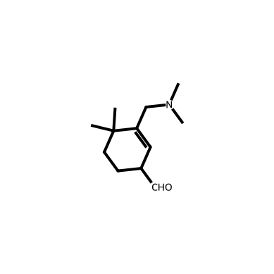 CN(C)CC1=CC(C=O)CCC1(C)C